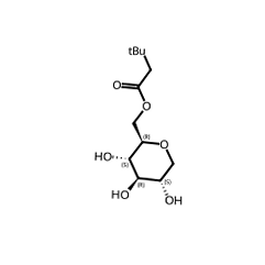 CC(C)(C)CC(=O)OC[C@H]1OC[C@H](O)[C@@H](O)[C@@H]1O